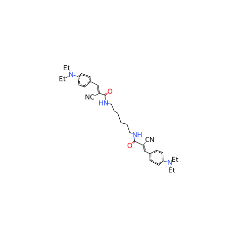 CCN(CC)c1ccc(/C=C(\C#N)C(=O)NCCCCCCNC(=O)/C(C#N)=C/c2ccc(N(CC)CC)cc2)cc1